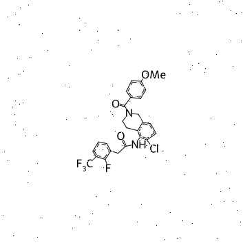 COc1ccc(C(=O)N2CCc3c(ccc(Cl)c3NC(=O)Cc3cccc(C(F)(F)F)c3F)C2)cc1